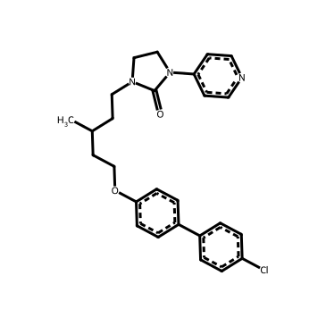 CC(CCOc1ccc(-c2ccc(Cl)cc2)cc1)CCN1CCN(c2ccncc2)C1=O